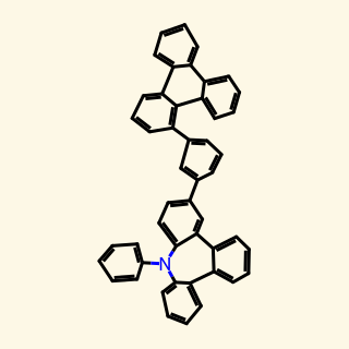 c1ccc(N2c3ccccc3-c3ccccc3-c3cc(-c4cccc(-c5cccc6c7ccccc7c7ccccc7c56)c4)ccc32)cc1